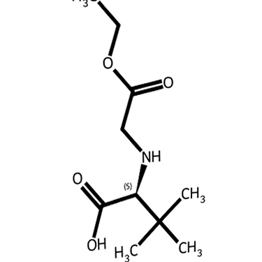 CCOC(=O)CN[C@H](C(=O)O)C(C)(C)C